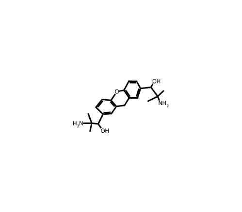 CC(C)(N)C(O)c1ccc2c(c1)Cc1cc(C(O)C(C)(C)N)ccc1O2